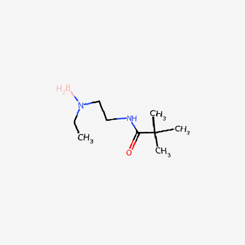 BN(CC)CCNC(=O)C(C)(C)C